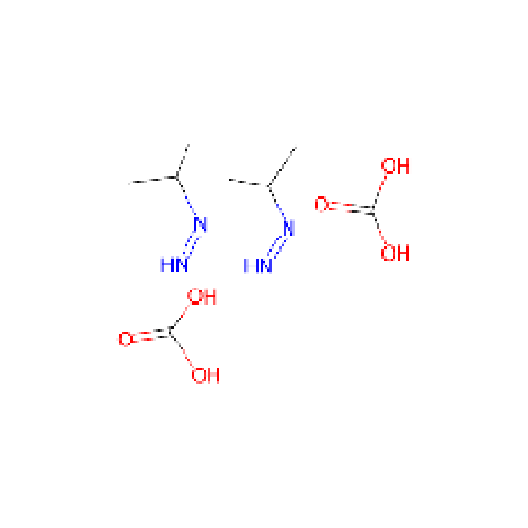 CC(C)N=N.CC(C)N=N.O=C(O)O.O=C(O)O